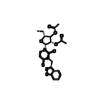 CC[C@H]1O[C@@H](n2ccc(=O)n(Cc3noc4ccccc34)c2=O)[C@@H](OC(C)=O)C1OC(C)=O